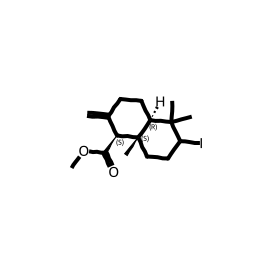 C=C1CC[C@H]2C(C)(C)C(I)CC[C@]2(C)[C@H]1C(=O)OC